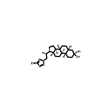 CCC[C@@]1(O)CC[C@H]2[C@H](CC[C@@H]3[C@@H]2CC[C@]2(C)[C@@H]([C@H](C)Cn4nnc(CC)n4)CC[C@@H]32)C1